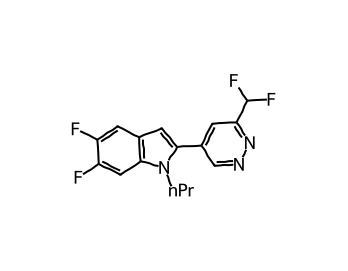 CCCn1c(-c2cnnc(C(F)F)c2)cc2cc(F)c(F)cc21